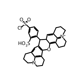 O=S(=O)(O)c1cc(S(=O)(=O)Cl)ccc1C1c2cc3c4c(c2OC2=C5CCC[N+]6=C5C(=CC21)CCC6)CCCN4CCC3